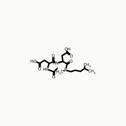 CC(C)CCCN(C)C(=O)C(CC(=O)O)NC(=O)C(CC(=O)O)NC(=O)I